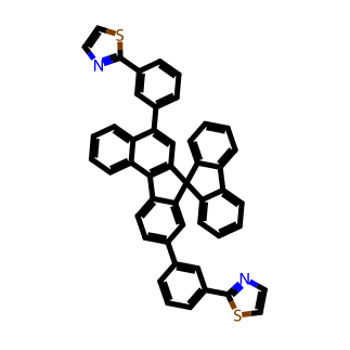 c1cc(-c2ccc3c(c2)C2(c4ccccc4-c4ccccc42)c2cc(-c4cccc(-c5nccs5)c4)c4ccccc4c2-3)cc(-c2nccs2)c1